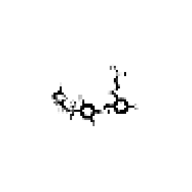 CCNCCNc1cc(Cl)ccc1CNc1cc(F)c(S(=O)(=O)Nc2ncc(F)s2)cc1F